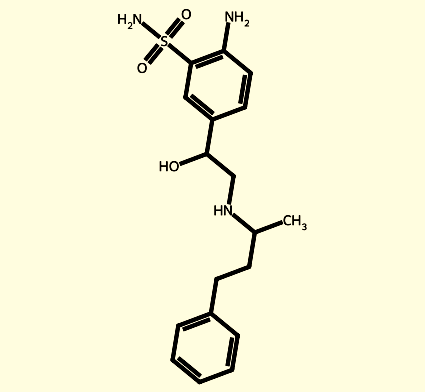 CC(CCc1ccccc1)NCC(O)c1ccc(N)c(S(N)(=O)=O)c1